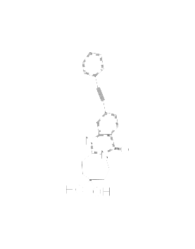 O=c1c2ccc(C#Cc3ccccc3)cc2nc2n1CCC(O)(O)CC2